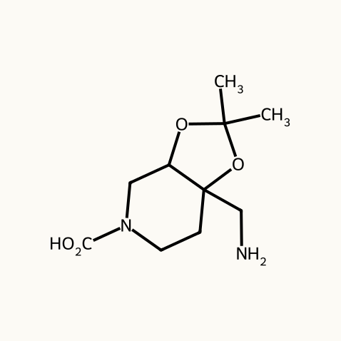 CC1(C)OC2CN(C(=O)O)CCC2(CN)O1